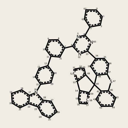 c1ccc(-c2nc(-c3cccc(-c4ccc(-n5c6ccccc6c6ccccc65)cc4)c3)nc(-c3ccc4c(c3)C3(c5ccccc5S4)c4ccccc4-c4ccccc43)n2)cc1